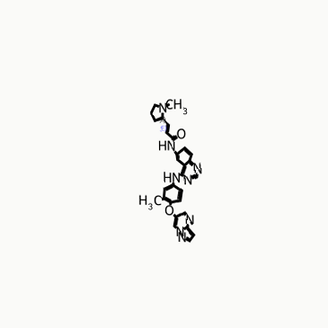 Cc1cc(Nc2ncnc3ccc(NC(=O)/C=C/[C@H]4CCCN4C)cc23)ccc1Oc1cnc2ccnn2c1